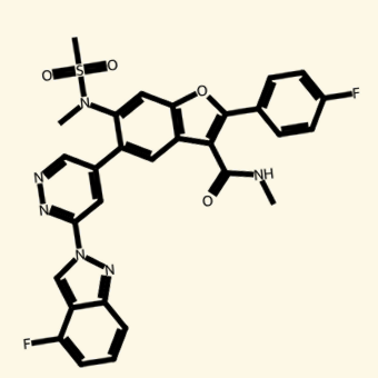 CNC(=O)c1c(-c2ccc(F)cc2)oc2cc(N(C)S(C)(=O)=O)c(-c3cnnc(-n4cc5c(F)cccc5n4)c3)cc12